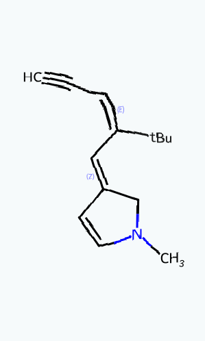 C#C/C=C(\C=C1\C=CN(C)C1)C(C)(C)C